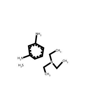 CCN(CC)CC.Nc1cccc(N)c1.S